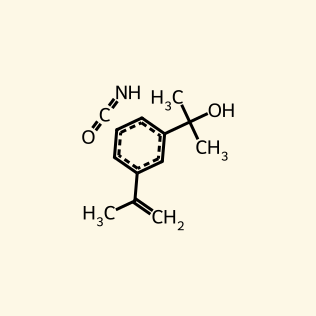 C=C(C)c1cccc(C(C)(C)O)c1.N=C=O